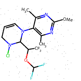 COc1nc(C)c(N2C=CCN(Cl)C2C(OC(F)F)C(F)(F)F)c(C)n1